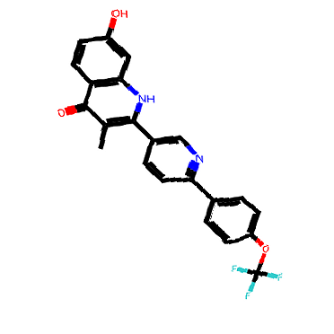 Cc1c(-c2ccc(-c3ccc(OC(F)(F)F)cc3)nc2)[nH]c2cc(O)ccc2c1=O